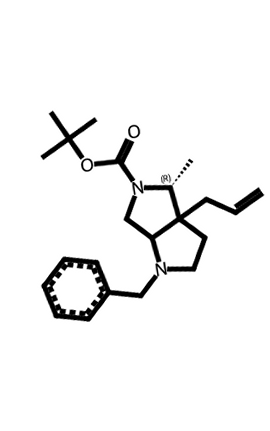 C=CCC12CCN(Cc3ccccc3)C1CN(C(=O)OC(C)(C)C)[C@@H]2C